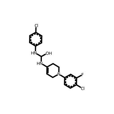 OC(NC1=CCN(c2ccc(Cl)c(F)c2)CC1)Nc1ccc(Cl)cc1